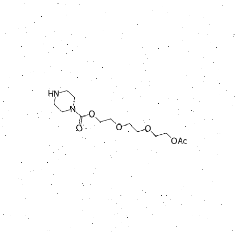 CC(=O)OCCOCCOCCOC(=O)N1CCNCC1